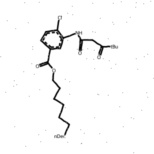 CCCCCCCCCCCCCCCCOC(=O)c1ccc(Cl)c(NC(=O)CC(=O)C(C)(C)C)c1